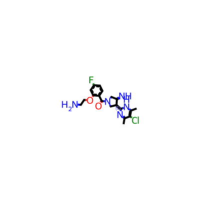 CC1=N/C(=C2\CN(C(=O)c3ccc(F)cc3OCCN)CC2=N)NC(C)=C1Cl